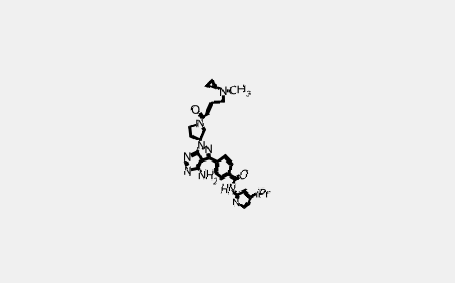 CC(C)c1ccnc(NC(=O)c2ccc(-c3nn(C4CCN(C(=O)/C=C/CN(C)C5CC5)C4)c4ncnc(N)c34)cc2)c1